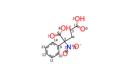 O=C(O)CCC(C(=O)O)(c1ccccc1)[N+](=O)[O-]